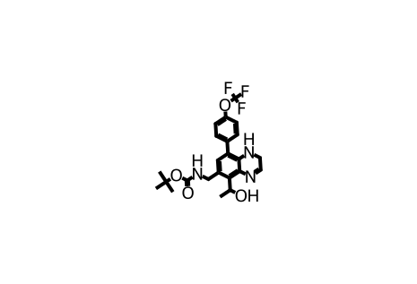 CC(O)c1c(CNC(=O)OC(C)(C)C)cc(-c2ccc(OC(F)(F)F)cc2)c2c1N=CCN2